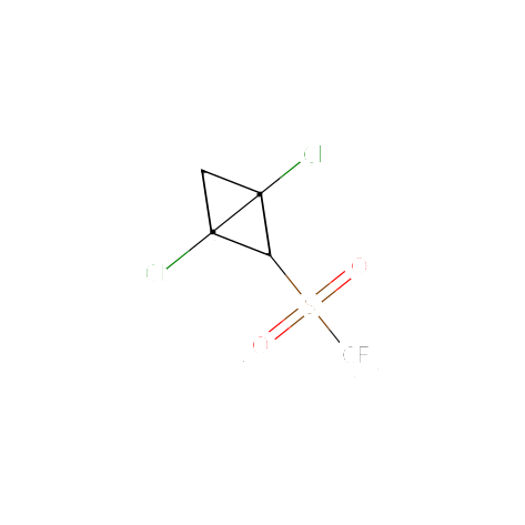 O=S(=O)(C1C2(Cl)CC12Cl)C(F)(F)F